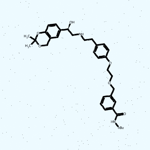 CCCCNC(=O)c1cccc(COCCOc2ccc(CCNC[C@H](O)c3ccc4c(c3)COC(C)(C)O4)cc2)c1